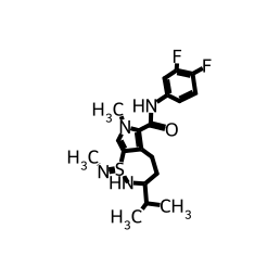 C/N=S1/NC(C(C)C)CCc2c1cn(C)c2C(=O)Nc1ccc(F)c(F)c1